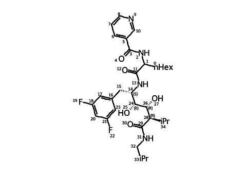 CCCCCCC(NC(=O)c1cccnc1)C(=O)N[C@@H](Cc1cc(F)cc(F)c1)[C@@H](O)[C@H](O)[C@H](C(=O)NCC(C)C)C(C)C